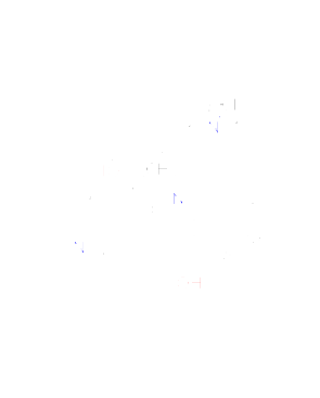 CN1C2CCC1c1c(n(CC(C)(O)c3ccncc3)c3c(CO)cccc13)C2